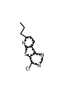 CCCc1ccc2c(n1)sc1c(Cl)ncnc12